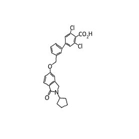 O=C(O)c1c(Cl)cc(-c2cccc(COc3ccc4c(c3)CN(C3CCCC3)C4=O)c2)cc1Cl